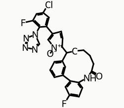 O=C1CCCCC(c2ccc(-c3cc(Cl)cc(F)c3-n3cnnn3)c[n+]2[O-])c2cccc(c2)-c2cc(F)ccc2N1